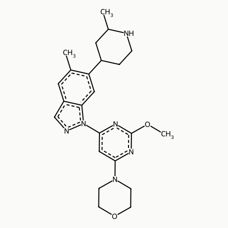 COc1nc(N2CCOCC2)cc(-n2ncc3cc(C)c(C4CCNC(C)C4)cc32)n1